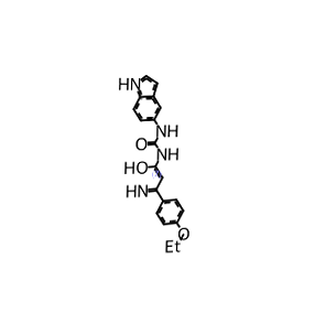 CCOc1ccc(C(=N)/C=C(\O)NC(=O)Nc2ccc3[nH]ccc3c2)cc1